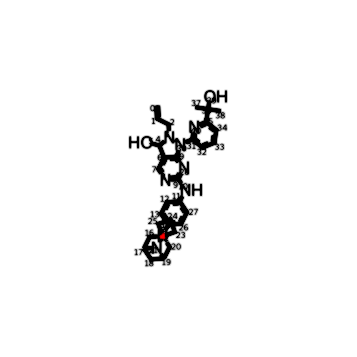 C=CCN1C(O)c2cnc(Nc3ccc(N4CC5CC(C4)N5C4CCC4)cc3)nc2N1c1cccc(C(C)(C)O)n1